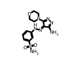 NC1=NN=C(N2CCOCC2)/C1=N\Nc1cccc(S(N)(=O)=O)c1